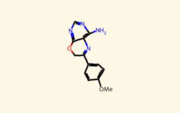 COc1ccc(C2=Nc3c(N)ncnc3OC2)cc1